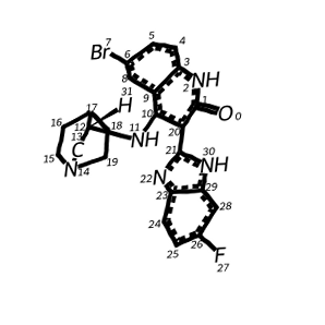 O=c1[nH]c2ccc(Br)cc2c(N[C@@H]2CN3CCC2CC3)c1-c1nc2ccc(F)cc2[nH]1